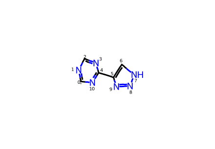 [c]1ncnc(-c2c[nH]nn2)n1